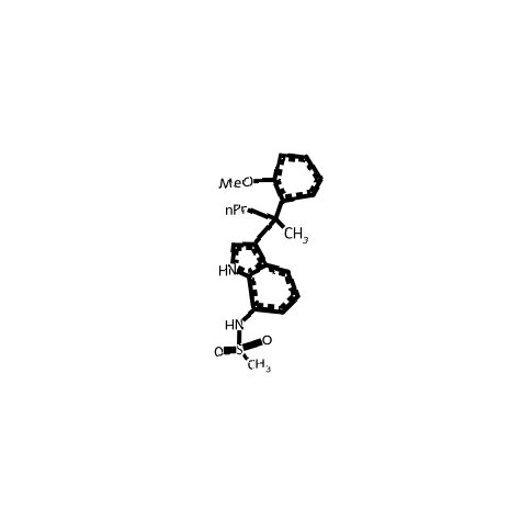 CCCC(C)(c1ccccc1OC)c1c[nH]c2c(NS(C)(=O)=O)cccc12